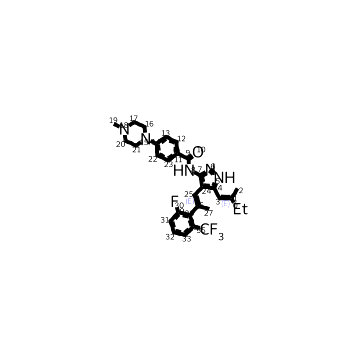 CC/C(C)=C/c1[nH]nc(NC(=O)c2ccc(N3CCN(C)CC3)cc2)c1/C=C(\C)c1c(F)cccc1C(F)(F)F